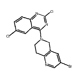 Clc1ccc2nc(Cl)nc(N3CCc4ncc(Br)cc4C3)c2c1